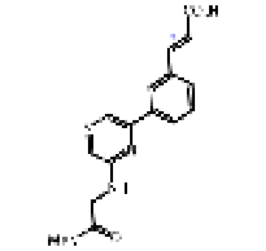 CNC(=O)CNc1cncc(-c2cccc(/C=C/C(=O)O)c2)n1